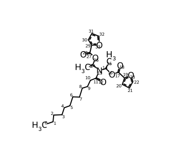 CCCCCCCCCCCC(=O)N(C(C)OC(=O)c1ccco1)C(C)OC(=O)c1ccco1